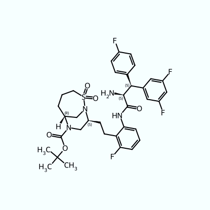 CC(C)(C)OC(=O)N1C[C@H](CCc2c(F)cccc2NC(=O)[C@@H](N)[C@@H](c2ccc(F)cc2)c2cc(F)cc(F)c2)N2C[C@H]1CCCS2(=O)=O